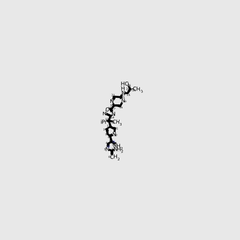 C=C(N)/N=C\C(=C/N)c1ccc(C(C)(c2noc(-c3cnc(NC[C@@H](C)O)cn3)n2)C(C)C)cn1